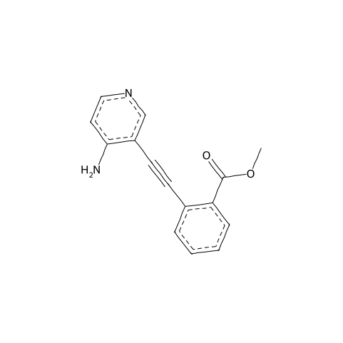 COC(=O)c1ccccc1C#Cc1cnccc1N